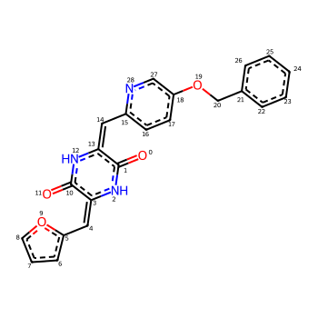 O=c1[nH]c(=Cc2ccco2)c(=O)[nH]c1=Cc1ccc(OCc2ccccc2)cn1